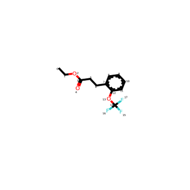 CCOC(=O)CCc1ccccc1OC(F)(F)F